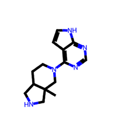 CC12CNCC1CCN(c1ncnc3[nH]ccc13)C2